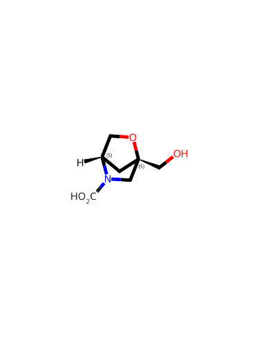 O=C(O)N1C[C@]2(CO)C[C@H]1CO2